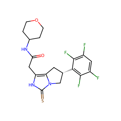 O=C(Cc1[nH]c(=S)n2c1C[C@H](c1c(F)c(F)cc(F)c1F)C2)NC1CCOCC1